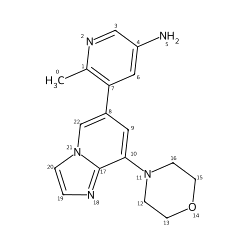 Cc1ncc(N)cc1-c1cc(N2CCOCC2)c2nccn2c1